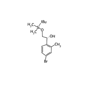 Cc1cc(Br)ccc1[C@@H](O)CO[Si](C)(C)C(C)(C)C